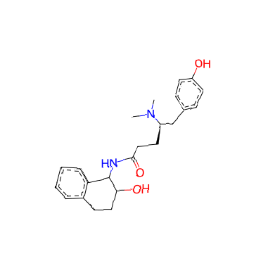 CN(C)[C@H](CCC(=O)NC1c2ccccc2CCC1O)Cc1ccc(O)cc1